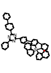 c1ccc(-c2ccc(-c3nc(-c4ccccc4)nc(-c4ccc(-c5ccc6c(c5)[Si](c5cccc7ccccc57)(c5cccc7ccccc57)c5ccccc5-6)cc4)n3)cc2)cc1